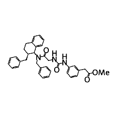 COC(=O)Cc1cccc(NC(=O)NCC(=O)N(Cc2ccccc2)[C@@H]2c3ccccc3CC[C@@H]2Cc2ccccc2)c1